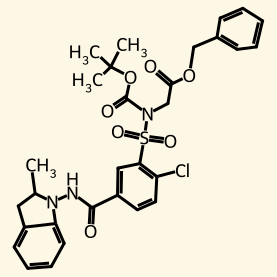 CC1Cc2ccccc2N1NC(=O)c1ccc(Cl)c(S(=O)(=O)N(CC(=O)OCc2ccccc2)C(=O)OC(C)(C)C)c1